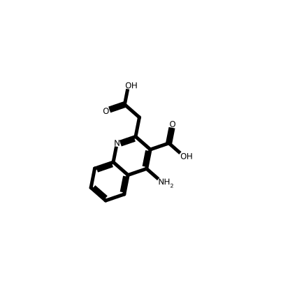 Nc1c(C(=O)O)c(CC(=O)O)nc2ccccc12